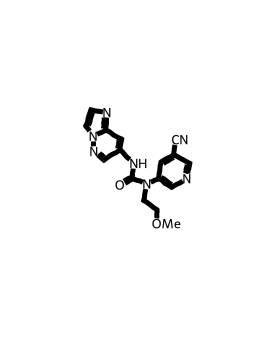 COCCN(C(=O)Nc1cnn2ccnc2c1)c1cncc(C#N)c1